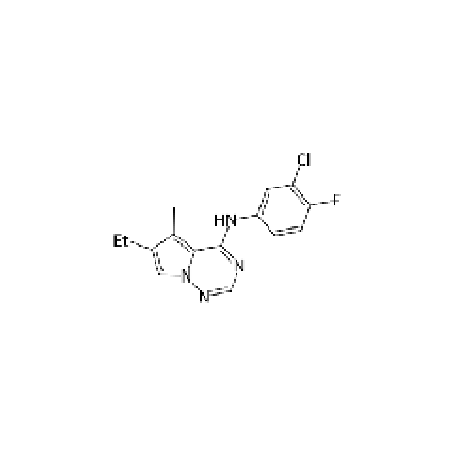 [CH2]Cc1cn2ncnc(Nc3ccc(F)c(Cl)c3)c2c1C